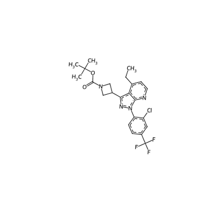 CCc1ccnc2c1c(C1CN(C(=O)OC(C)(C)C)C1)nn2-c1ccc(C(F)(F)F)cc1Cl